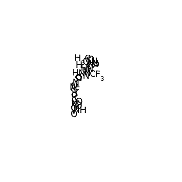 CN(c1ncccc1CNc1nc(Nc2ccc(N3CCN(Cc4cc5c(cc4F)C(=O)N(C4CCC(=O)NC4=O)C5)CC3)cc2)ncc1C(F)(F)F)S(C)(=O)=O